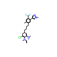 C=CN(C)C1=C(Cl)CC(CCCCc2cc(-c3cnn(C)c3)c(C(F)F)cc2C)C=C1N(C)C